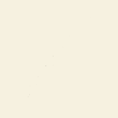 CCC=CCC=CCC=CCCCCCBr